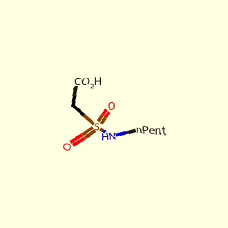 CCCCCNS(=O)(=O)CC(=O)O